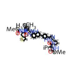 COC(=O)NC(Cc1cccs1)C(=O)N1C[Si](C)(C)C[C@H]1c1nc2ccc3cc(-c4ccc(-c5cnc([C@@H]6CCCN6C(=O)[C@@H](NC(=O)OC)C(C)C)[nH]5)cc4)ccc3c2[nH]1